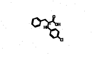 O=C(O)[C@H](Cc1ccccc1)Nc1ccc(Cl)cc1